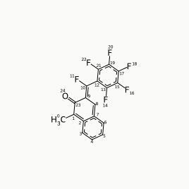 CC1=c2ccccc2=CC(=C(F)c2c(F)c(F)c(F)c(F)c2F)C1=O